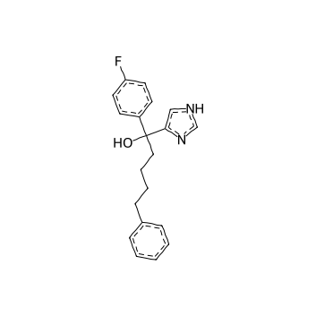 OC(CCCCc1ccccc1)(c1ccc(F)cc1)c1c[nH]cn1